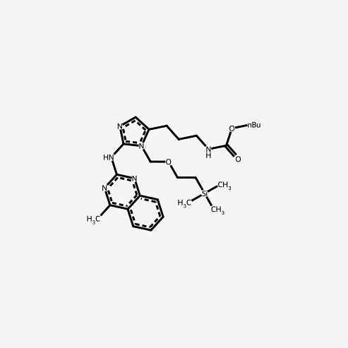 CCCCOC(=O)NCCCc1cnc(Nc2nc(C)c3ccccc3n2)n1COCC[Si](C)(C)C